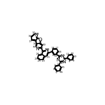 c1ccc(-c2nc(-c3ccccc3)nc(-c3cccc(-c4cc5ccccc5c(-c5cc6oc7ncccc7c6cn5)n4)c3)n2)cc1